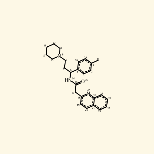 Cc1ccc(C(CCN2CCCCC2)NC(=O)Cc2ccc3ccccc3n2)cc1